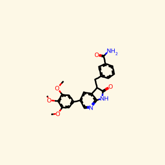 COc1cc(-c2cnc3c(c2)C(Cc2cccc(C(N)=O)c2)C(=O)N3)cc(OC)c1OC